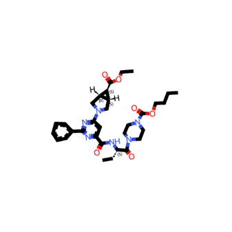 CCCCOC(=O)N1CCN(C(=O)[C@H](CC)NC(=O)c2cc(N3C[C@@H]4[C@H](C3)[C@@H]4C(=O)OCC)nc(-c3ccccc3)n2)CC1